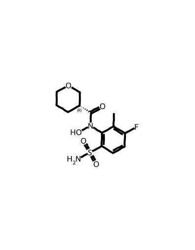 Cc1c(F)ccc(S(N)(=O)=O)c1N(O)C(=O)[C@@H]1CCCOC1